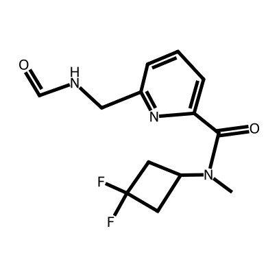 CN(C(=O)c1cccc(CNC=O)n1)C1CC(F)(F)C1